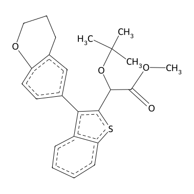 COC(=O)C(OC(C)(C)C)c1sc2ccccc2c1-c1ccc2c(c1)CCCO2